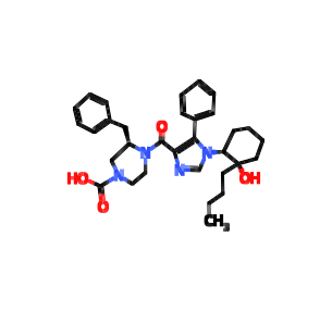 CCCC[C@@]1(O)CCCC[C@@H]1n1cnc(C(=O)N2CCN(C(=O)O)C[C@H]2Cc2ccccc2)c1-c1ccccc1